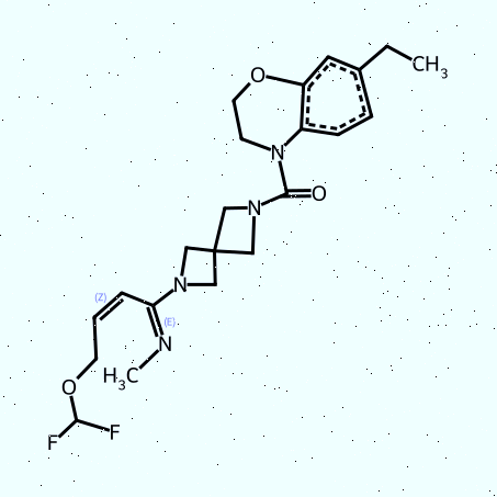 CCc1ccc2c(c1)OCCN2C(=O)N1CC2(C1)CN(C(/C=C\COC(F)F)=N/C)C2